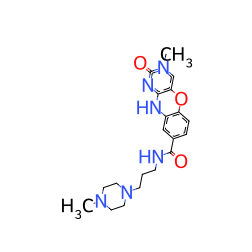 CN1CCN(CCCNC(=O)c2ccc3c(c2)Nc2nc(=O)n(C)cc2O3)CC1